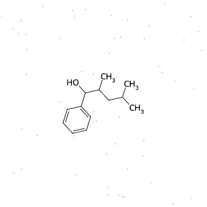 CC(C)CC(C)C(O)c1ccccc1